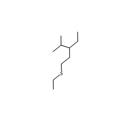 CCSCCC(CC)C(C)C